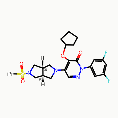 CC(C)S(=O)(=O)N1C[C@H]2CN(c3cnn(-c4cc(F)cc(F)c4)c(=O)c3OC3CCCC3)C[C@H]2C1